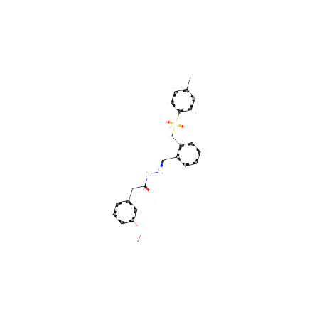 COc1cccc(CC(=O)NN=Cc2ccccc2CS(=O)(=O)c2ccc(C)cc2)c1